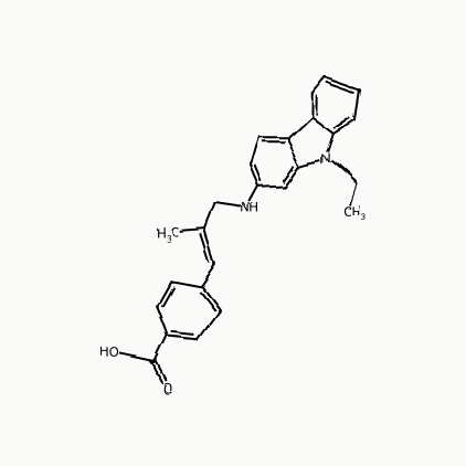 CCn1c2ccccc2c2ccc(NCC(C)=Cc3ccc(C(=O)O)cc3)cc21